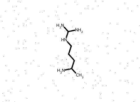 CC(N)CCCNC(N)N